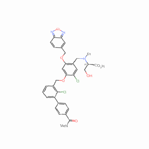 CCN(Cc1cc(Cl)c(OCc2cccc(-c3ccc(C(=O)NC)cc3)c2Cl)cc1OCc1ccc2nonc2c1)[C@H](CO)C(=O)O